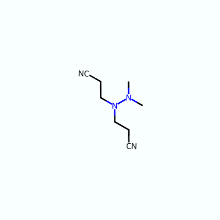 CN(C)N(CCC#N)CCC#N